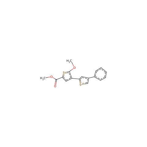 COC(=O)c1cc(-c2cc(-c3ccccc3)cs2)c(OC)s1